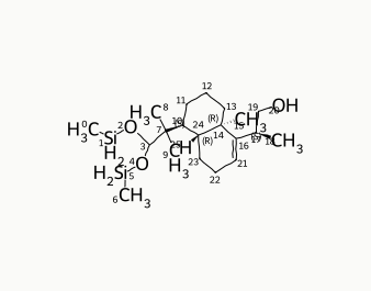 C[SiH2]OC(O[SiH2]C)C(C)(C)[C@H]1CCC[C@@]2(C)C([C@H](C)CO)=CCC[C@H]12